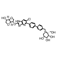 OC[C@@H]1[C@@H](O)[C@H](O)[C@@H](O)CN1Cc1ccc(-c2ccc(-c3nc4nc(O[C@@H]5CO[C@H]6[C@@H]5OC[C@H]6O)[nH]c4cc3Cl)cc2)cc1